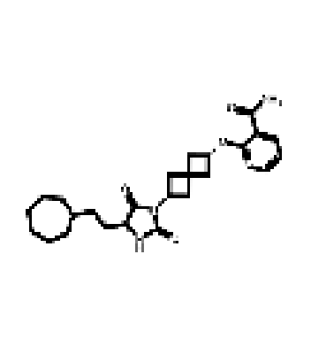 NC(=O)c1cccnc1O[C@H]1CC2(C1)C[C@H](N1C(=O)NC(CCC3CCCCCC3)C1=O)C2